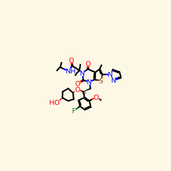 COc1ccc(F)cc1[C@H](Cn1c(=O)n(C(C)(C)C(=O)NC(C)C)c(=O)c2c(C)c(-n3cccn3)sc21)O[C@H]1CC[C@H](O)CC1